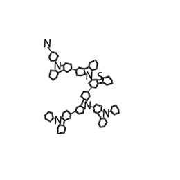 N#Cc1ccc(-n2c3ccccc3c3cc(-c4ccc5c(c4)c4ccccc4n5-c4cc(-c5ccc6c7cc(-c8ccc9c(c8)c8ccccc8n9-c8ccccc8)ccc7n(-c7ccc8c(c7)c7ccccc7n8-c7ccccc7)c6c5)cc5c4sc4ccccc45)ccc32)cc1